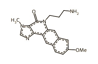 COc1ccc2cc3c4ncn(C)c4c(=O)n(CCCN)c3cc2c1